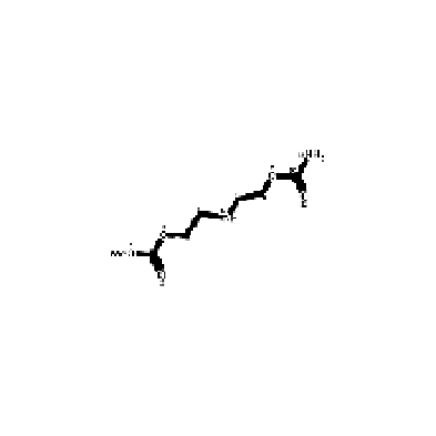 COC(=O)OCCNCCOC(N)=O